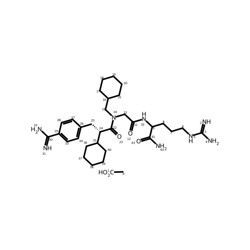 CC(=O)O.N=C(N)NCCCC(NC(=O)CN(CC1CCCCC1)C(=O)[C@@H](Cc1ccc(C(=N)N)cc1)C1CCCCC1)C(N)=O